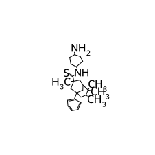 CC1CC2(c3ccccc3)CC(CC(C)(C(=S)N[C@H]3CC[C@H](N)CC3)C2)C1(C)C